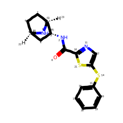 O=C(N[C@@H]1C[C@H]2CC[C@@H]1N2)c1ncc(Sc2ccccc2)s1